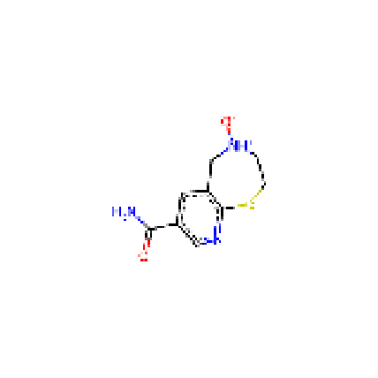 NC(=O)c1cnc2c(c1)C[NH+]([O-])CCS2